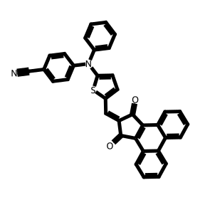 N#Cc1ccc(N(c2ccccc2)c2ccc(C=C3C(=O)c4c(c5ccccc5c5ccccc45)C3=O)s2)cc1